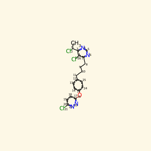 CC(Cl)c1ncnc(CCCCc2ccc(Oc3ccc(Cl)nn3)cc2)c1Cl